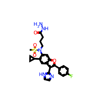 CS(=O)(=O)N(CCCC(=O)NN)c1cc2oc(-c3ccc(F)cc3)c(-c3ncc[nH]3)c2cc1C1CC1